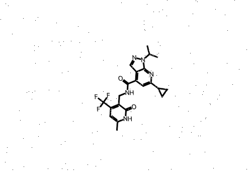 Cc1cc(C(F)(F)F)c(CNC(=O)c2cc(C3CC3)nc3c2cnn3C(C)C)c(=O)[nH]1